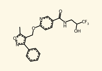 Cc1onc(-c2ccccc2)c1COc1ccc(C(=O)NCC(O)C(F)(F)F)cn1